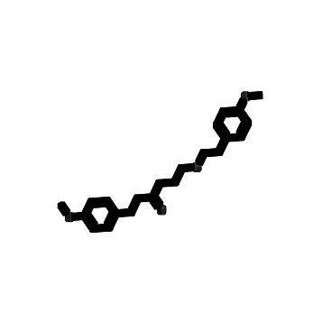 COc1ccc(CCOCCCC(=O)CCc2ccc(OC)cc2)cc1